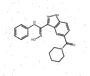 O=C(c1ccc2[nH]nc(C(=NO)Nc3ccccc3)c2c1)N1CCCCC1